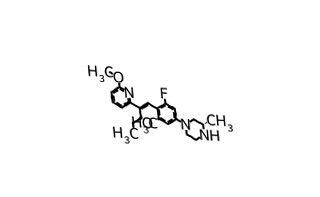 CCC(=O)/C(=C\c1c(C)cc(N2CCN[C@@H](C)C2)cc1F)c1cccc(OC)n1